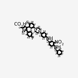 Cc1c(C(=O)O)c(-c2cc(N3CCN(c4ccc(NSc5ccc(NSc6ccccc6)c([N+](=O)[O-])c5)cc4)CC3)ccc2F)c(-c2ccc(F)cc2)n1C